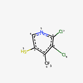 FC(F)(F)c1c(S)cnc(Cl)c1Cl